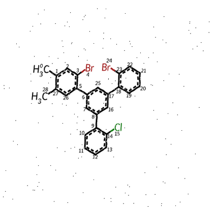 Cc1cc(Br)c(-c2cc(-c3ccccc3Cl)cc(-c3ccccc3Br)c2)cc1C